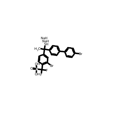 CC(S)(c1ccc(-c2ccc(Br)cc2)cc1)c1ccc(C(F)(F)P(=O)(O)O)c(Br)c1.[NaH].[NaH]